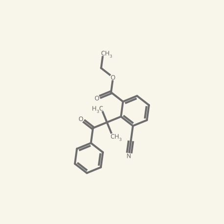 CCOC(=O)c1cccc(C#N)c1C(C)(C)C(=O)c1ccccc1